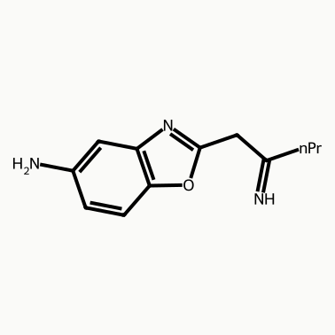 CCCC(=N)Cc1nc2cc(N)ccc2o1